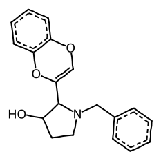 OC1CCN(Cc2ccccc2)C1C1=COc2ccccc2O1